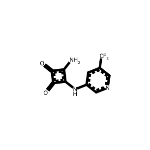 Nc1c(Nc2cncc(C(F)(F)F)c2)c(=O)c1=O